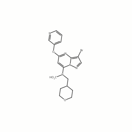 O=C(O)N(CC1CCOCC1)c1cc(Oc2cccnc2)nc2c(Br)cnn12